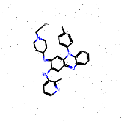 Cc1ccc(-n2c3cc(=NC4CCN(CC(C)C)CC4)c(Nc4cccnc4C)cc-3nc3ccccc32)cc1